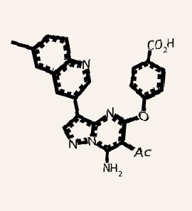 CC(=O)c1c(Oc2ccc(C(=O)O)cc2)nc2c(-c3cnc4ccc(C)cc4c3)cnn2c1N